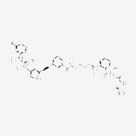 O=C1CCC(N2C(=O)c3cccc(NCCCCNC(=O)c4cccc(C#Cc5cc(NC(=O)Nc6ccnc(Cl)c6)ccn5)c4)c3C2=O)C(=O)N1